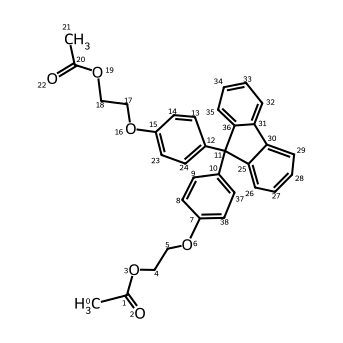 CC(=O)OCCOc1ccc(C2(c3ccc(OCCOC(C)=O)cc3)c3ccccc3-c3ccccc32)cc1